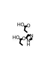 CCC(=O)O.CCC(=O)O.c1c[nH]cn1